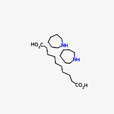 C1CCCNCC1.C1CCCNCC1.O=C(O)CCCCCCCCC(=O)O